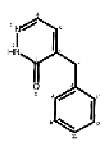 O=c1[nH]nccc1Cc1ccccc1